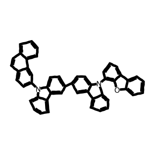 c1ccc2c(c1)ccc1ccc(-n3c4ccccc4c4cc(-c5ccc6c(c5)c5ccccc5n6-c5cccc6c5oc5ccccc56)ccc43)cc12